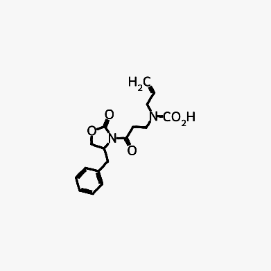 C=CCN(CCC(=O)N1C(=O)OCC1Cc1ccccc1)C(=O)O